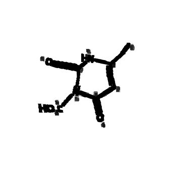 Cc1cc(=O)n(C(=O)O)c(=O)[nH]1